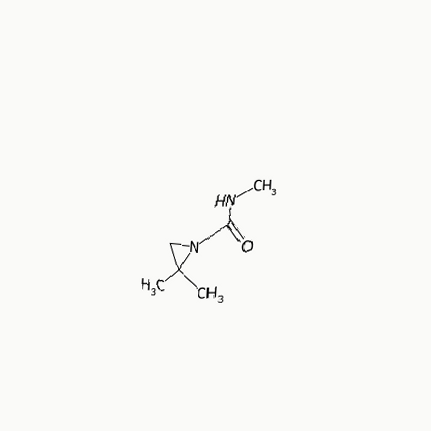 CNC(=O)N1CC1(C)C